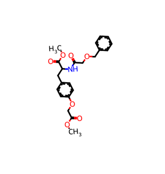 COC(=O)COc1ccc(CC(NC(=O)COCc2ccccc2)C(=O)OC)cc1